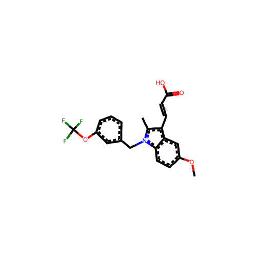 COc1ccc2c(c1)c(/C=C/C(=O)O)c(C)n2Cc1cccc(OC(F)(F)F)c1